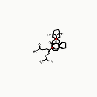 CC(C)ON=C(CCC(=O)O)c1nc2ccccc2n([C@H]2C[C@H]3CC[C@@H](C2)N3C2CC3CCCCC(C3)C2)c1=O